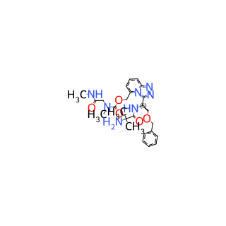 CNC(=O)CN(C)C(=O)OCc1cccc2nnc([C@@H](COCc3ccccc3)NC(=O)C(C)(C)N)n12